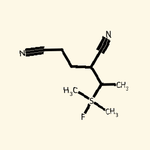 CC(C(C#N)CCC#N)S(C)(C)F